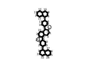 C1=CC2Oc3cc(-c4cccc5ccccc45)ccc3C2c2ccc3oc4cc(-c5cccc6ccccc56)ccc4c3c21